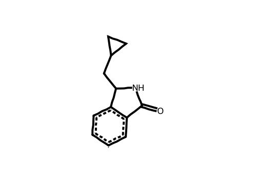 O=C1NC(CC2CC2)c2cc[c]cc21